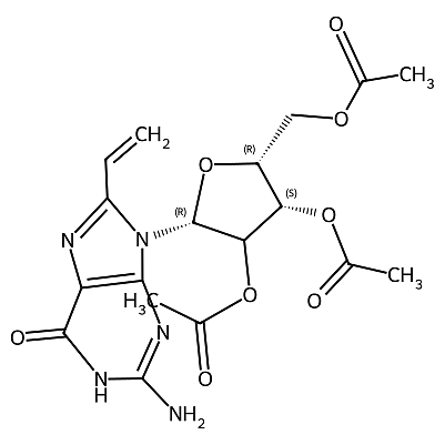 C=Cc1nc2c(=O)[nH]c(N)nc2n1[C@@H]1O[C@H](COC(C)=O)[C@H](OC(C)=O)C1OC(C)=O